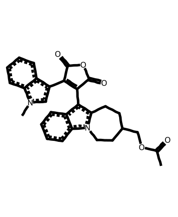 CC(=O)OCC1CCc2c(C3=C(c4cn(C)c5ccccc45)C(=O)OC3=O)c3ccccc3n2CC1